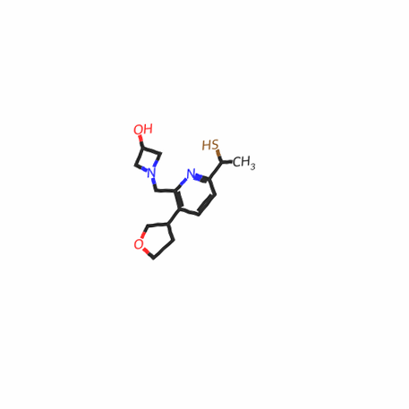 CC(S)c1ccc(C2CCOC2)c(CN2CC(O)C2)n1